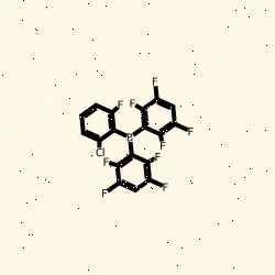 Fc1cc(F)c(F)c(B(c2c(F)cccc2Cl)c2c(F)c(F)cc(F)c2F)c1F